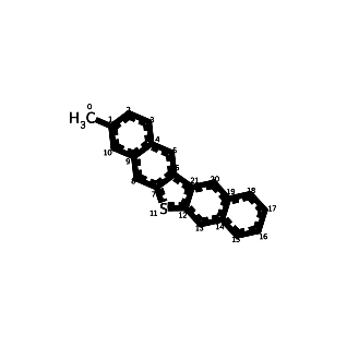 Cc1ccc2cc3c(cc2c1)sc1cc2ccccc2cc13